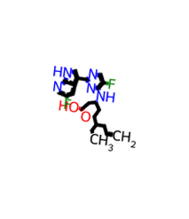 C=CCC(CC)CCC(CC(=O)O)Nc1nc(-c2c[nH]c3ncc(F)cc23)ncc1F